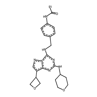 CCC(=O)Nc1ccc(CNc2nc(NC3CCOCC3)nc3c(C4COC4)cnn23)cc1